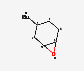 [CH2]C(CC)C1CCC2OC2C1